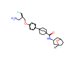 NC/C(=C\F)COc1ccc(C23CCC(C(=O)N[C@H]4CC5CC[C@H](C4)O5)(CC2)CC3)cc1